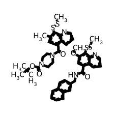 COc1cc(C(=O)NCc2ccc3ccccc3c2)c2cccnc2c1SSC.CSSc1c(C)cc(C(=O)N2CCN(C(=O)OC(C)(C)C)CC2)c2cccnc12